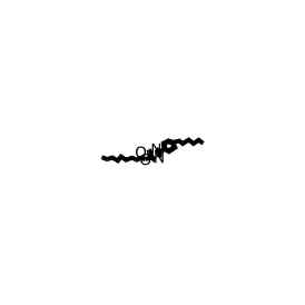 CCCCCCCCC(=O)Oc1cnc(-c2ccc(CCCCCC)cc2)nc1